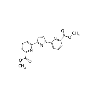 COC(=O)c1cccc(-c2ccn(-c3cccc(C(=O)OC)n3)n2)n1